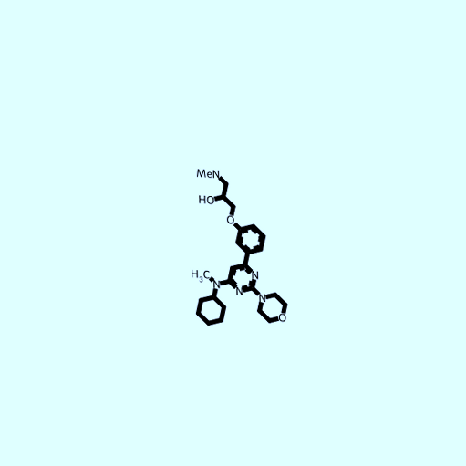 CNCC(O)COc1cccc(-c2cc(N(C)C3CCCCC3)nc(N3CCOCC3)n2)c1